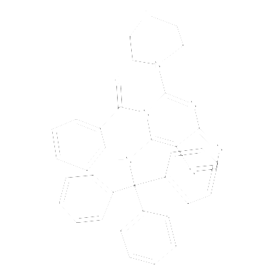 O=C(c1ccccc1)n1c(N2CCOCC2)nc2ncnc-2c1NC(c1ccccc1)(c1ccccc1)c1ccccc1